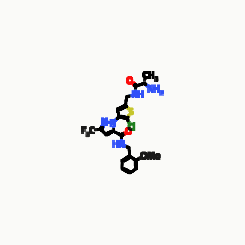 COc1ccccc1CNC(=O)c1cc(C(F)(F)F)nn1-c1cc(CNC(=O)[C@H](C)N)sc1Cl